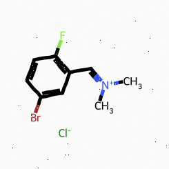 C[N+](C)=Cc1cc(Br)ccc1F.[Cl-]